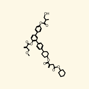 C=C(COC)C(=O)Oc1ccc(-c2ccc(OC(=O)C(C)CO)cc2)cc1-c1ccc(C2CCC(OC(=O)C(=C)CC(=O)OC3CCCCC3)CC2)cc1